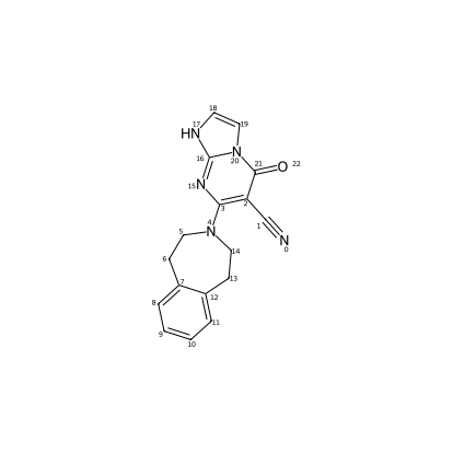 N#Cc1c(N2CCc3ccccc3CC2)nc2[nH]ccn2c1=O